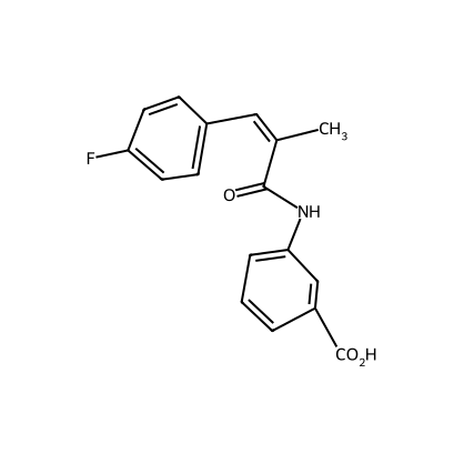 CC(=Cc1ccc(F)cc1)C(=O)Nc1cccc(C(=O)O)c1